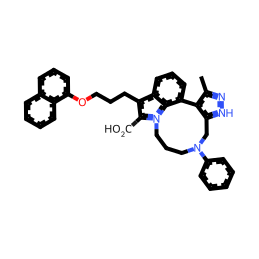 Cc1n[nH]c2c1-c1cccc3c(CCCOc4cccc5ccccc45)c(C(=O)O)n(c13)CCCN(c1ccccc1)C2